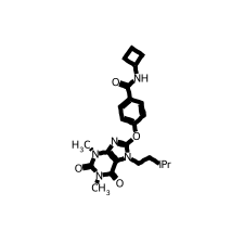 CC(C)CCn1c(Oc2ccc(C(=O)NC3CCC3)cc2)nc2c1c(=O)n(C)c(=O)n2C